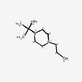 CCCC(C)(C)N1CCN(CCO)CC1